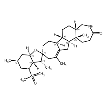 C=S(C)(=O)N1C[C@@H](C)C[C@H]2O[C@]3(CC[C@@H]4C(=C(C)C3)C[C@H]3[C@H]4CC[C@@H]4CNC(=O)CC[C@@]43C)[C@H](C)[C@@H]21